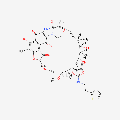 CO[C@H]1/C=C/O[C@@]2(C)Oc3c(C)c(O)c4c(c3C2=O)C(=O)C(N2CCOCC2)=C(NC(=O)/C(C)=C\C=C\[C@H](C)[C@H](O)[C@@H](C)[C@@H](O)[C@@H](C)[C@H](OC(=O)NCCc2cccs2)[C@@H]1C)C4=O